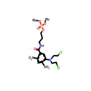 CC(C)(C)OP(=O)(OCCCNC(=O)c1cc(N(CCCl)CCCl)c([N+](=O)[O-])cc1[N+](=O)[O-])OC(C)(C)C